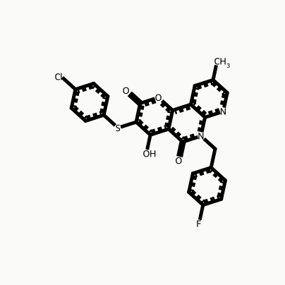 Cc1cnc2c(c1)c1oc(=O)c(Sc3ccc(Cl)cc3)c(O)c1c(=O)n2Cc1ccc(F)cc1